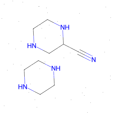 C1CNCCN1.N#CC1CNCCN1